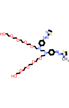 C[n+]1ccsc1N=Nc1ccc(N(CCOCCOCCOCCOCCO)CCN(CCOCCOCCOCCOCCO)c2ccc(N=Nc3nccs3)cc2)cc1